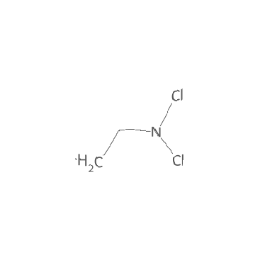 [CH2]CN(Cl)Cl